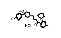 Cl.O=C(CCCN1CCC(O)(c2ccc(Cl)cc2)CC1)c1ccc(F)cc1N1CCCCC1